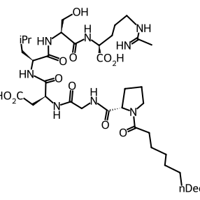 CCCCCCCCCCCCCCCC(=O)N1CCC[C@H]1C(=O)NCC(=O)N[C@@H](CC(=O)O)C(=O)N[C@@H](CC(C)C)C(=O)N[C@@H](CO)C(=O)N[C@@H](CCCNC(C)=N)C(=O)O